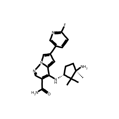 CC1(C)[C@H](Nc2c(C(N)=O)cnn3cc(-c4ccc(F)nc4)cc23)CC[C@@]1(C)N